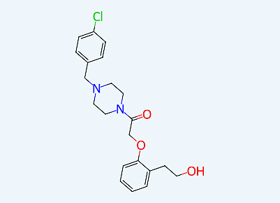 O=C(COc1ccccc1CCO)N1CCN(Cc2ccc(Cl)cc2)CC1